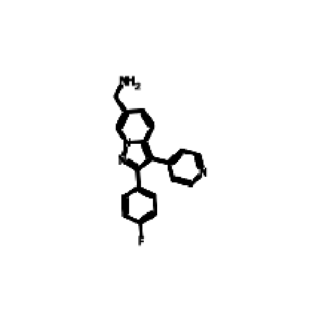 NCc1ccc2c(-c3ccncc3)c(-c3ccc(F)cc3)nn2c1